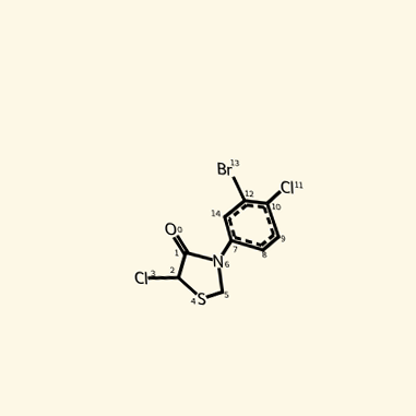 O=C1C(Cl)SCN1c1ccc(Cl)c(Br)c1